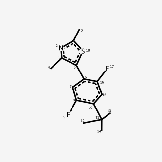 Cc1nc(C)c(-c2cc(F)c(C(C)(C)C)cc2F)s1